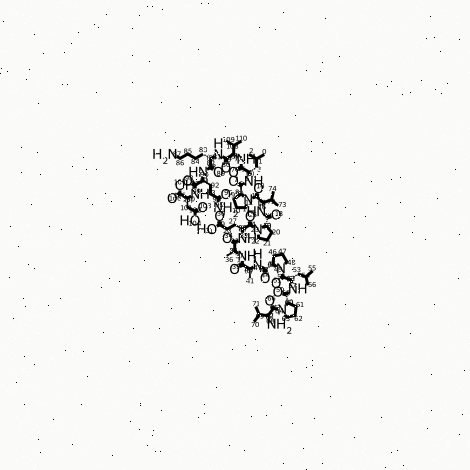 CC(C)C[C@H](NC(=O)[C@@H]1CCCN1C(=O)[C@@H](NC(=O)[C@@H]1CCCN1C(=O)[C@H](CCC(=O)O)NC(=O)[C@H](C)NC(=O)[C@H](C)NC(=O)[C@@H]1CCCN1C(=O)[C@H](CC(C)C)NC(=O)[C@@H]1CCCN1C(=O)[C@@H](N)C(C)C)C(C)C)C(=O)N[C@H](C(=O)N[C@@H](CCCCN)C(=O)N[C@@H](CCC(N)=O)C(=O)N[C@@H](CC(=O)O)C(=O)O)C(C)C